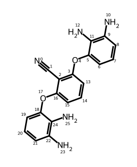 N#Cc1c(Oc2cccc(N)c2N)cccc1Oc1cccc(N)c1N